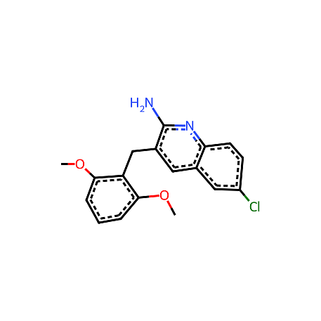 COc1cccc(OC)c1Cc1cc2cc(Cl)ccc2nc1N